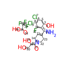 NC(c1c(O)cc(Cl)c(Cl)c1F)C1CCN(C(=O)C(O)CO)CC1.O=C(O)C(F)(F)F